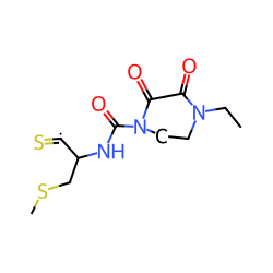 CCN1CCN(C(=O)NC([C]=S)CSC)C(=O)C1=O